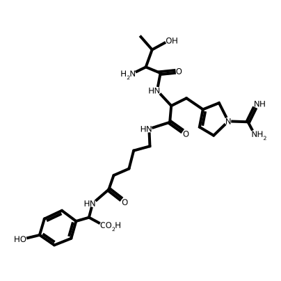 CC(O)C(N)C(=O)NC(CC1=CCN(C(=N)N)C1)C(=O)NCCCCC(=O)NC(C(=O)O)c1ccc(O)cc1